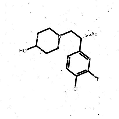 CC(=O)[C@@H](CN1CCC(O)CC1)c1ccc(Cl)c(F)c1